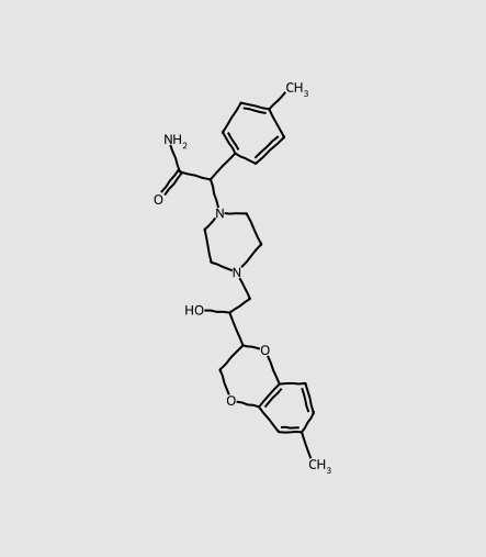 Cc1ccc(C(C(N)=O)N2CCN(CC(O)C3COc4cc(C)ccc4O3)CC2)cc1